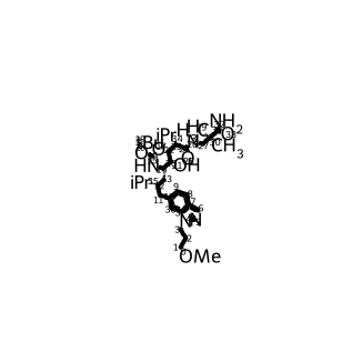 COCCCn1ncc2ccc(C[C@@H](C[C@H](NC(=O)OC(C)(C)C)[C@@H](O)C[C@H](C(=O)NCC(C)(C)C(N)=O)C(C)C)C(C)C)cc21